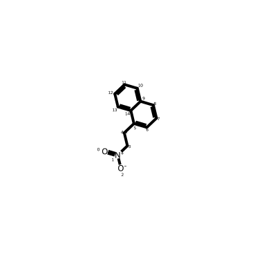 O=[N+]([O-])C[CH]c1cccc2ccccc12